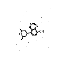 CC1CN(c2ccc(C#N)c3ncncc23)CC(C)O1